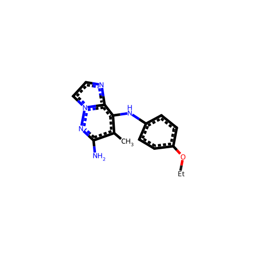 CCOc1ccc(Nc2c(C)c(N)nn3ccnc23)cc1